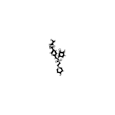 O=S(=O)(CCN1CCC(F)CC1)N(Cc1ccc(-c2nnc(C(F)F)o2)cn1)c1ccc(F)c(Cl)c1